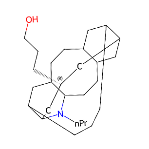 CCCN1C2CCC3CC4C[C@@H](CCCO)CC1C1CCCC4CC3CCC2C1